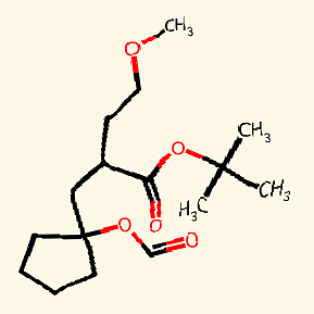 COCCC(CC1(OC=O)CCCC1)C(=O)OC(C)(C)C